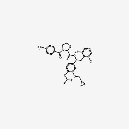 Nc1ccc(C(=O)N2CCSC2C(=O)OC(Cc2c(Cl)cncc2Cl)c2ccc(OC(F)F)c(OCC3CC3)c2)cc1